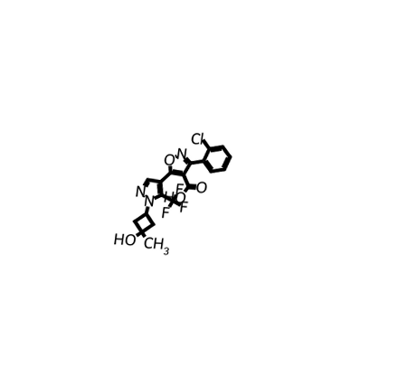 CC1(O)CC(n2ncc(-c3onc(-c4ccccc4Cl)c3C(=O)O)c2C(F)(F)F)C1